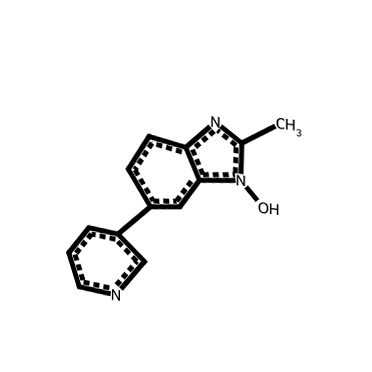 Cc1nc2ccc(-c3cccnc3)cc2n1O